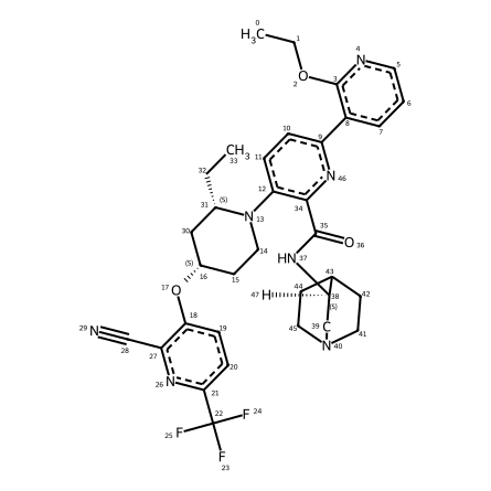 CCOc1ncccc1-c1ccc(N2CC[C@H](Oc3ccc(C(F)(F)F)nc3C#N)C[C@@H]2CC)c(C(=O)N[C@@H]2CN3CCC2CC3)n1